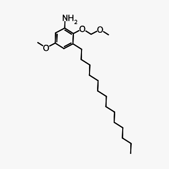 CCCCCCCCCCCCCCc1cc(OC)cc(N)c1OCOC